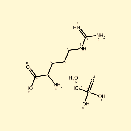 N=C(N)NCCCC(N)C(=O)O.O.O=P(O)(O)O